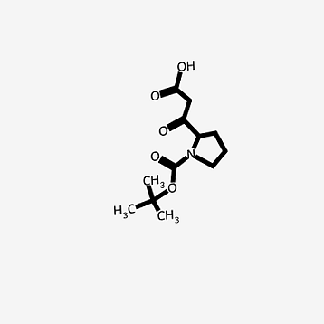 CC(C)(C)OC(=O)N1CCCC1C(=O)CC(=O)O